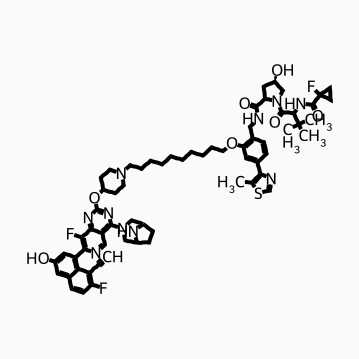 C#Cc1c(F)ccc2cc(O)cc(-c3ncc4c(N5CC6CCC(C5)N6)nc(OC5CCN(CCCCCCCCCCOc6cc(-c7ncsc7C)ccc6CNC(=O)C6C[C@@H](O)CN6C(=O)C(NC(=O)C6(F)CC6)C(C)(C)C)CC5)nc4c3F)c12